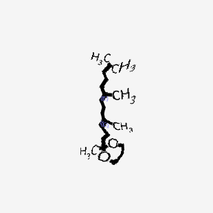 CC(C)=CCC/C(C)=C/CC/C(C)=C/CCC1(C)OCCCO1